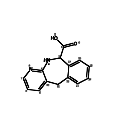 O=C(O)C1Nc2ncccc2Cc2ccccc21